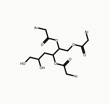 CC(=O)CC(=O)OCC(OC(=O)CC(C)=O)C(CC(O)CO)OC(=O)CC(C)=O